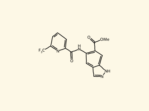 COC(=O)c1cc2[nH]ncc2cc1NC(=O)c1cccc(C(F)(F)F)n1